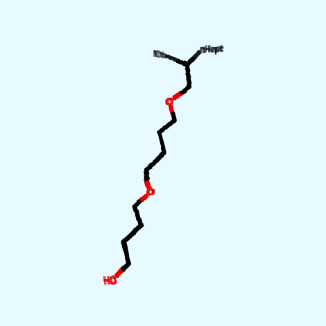 CCCCCCCC(CC)COCCCCOCCCCO